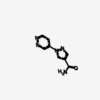 NC(=O)c1cnn(-c2ccnnc2)c1